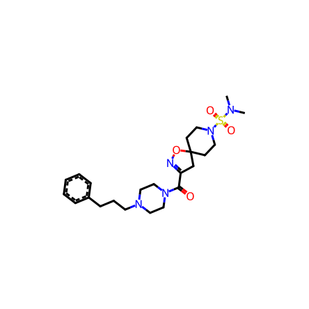 CN(C)S(=O)(=O)N1CCC2(CC1)CC(C(=O)N1CCN(CCCc3ccccc3)CC1)=NO2